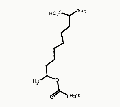 CCCCCCCCC(CCCCCCC(C)OC(=O)CCCCCCC)C(=O)O